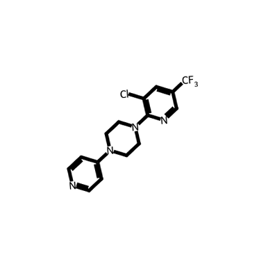 FC(F)(F)c1cnc(N2CCN(c3ccncc3)CC2)c(Cl)c1